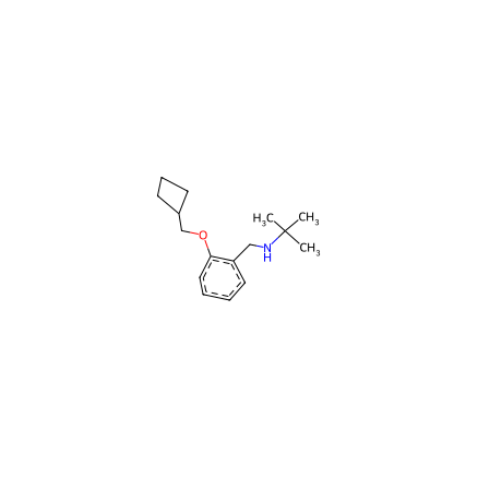 CC(C)(C)NCc1ccccc1OCC1CCC1